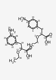 CCOC(Cc1ccc(N)cc1)C(=O)O.CCOC(Cc1cccc(N)c1)C(=O)O